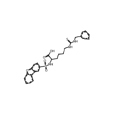 O=C(O)C(CCCCNC(=S)NCc1ccccc1)NS(=O)(=O)c1ccc2oc3ccccc3c2c1